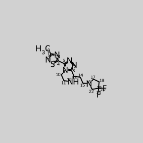 Cc1nsc(-c2nnc3n2CCNC3CCN2CCC(F)(F)C2)n1